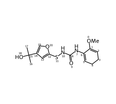 COC1=CCCC=C1NC(=O)NSc1cc(C(C)(C)O)co1